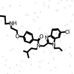 CCCNCCOc1ccc(C(=O)N(CCC(C)C)Cc2nc3ccc(Cl)cc3n2CCC)cc1